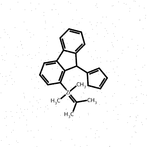 C[C](C)=[Zr]([CH3])([CH3])[c]1cccc2c1C(C1=CC=CC1)c1ccccc1-2